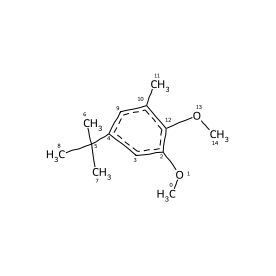 COc1cc(C(C)(C)C)cc(C)c1OC